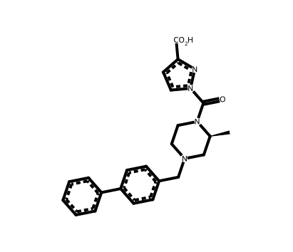 C[C@H]1CN(Cc2ccc(-c3ccccc3)cc2)CCN1C(=O)n1ccc(C(=O)O)n1